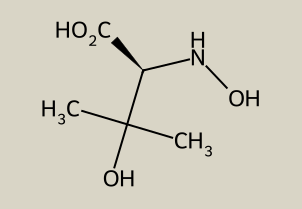 CC(C)(O)[C@H](NO)C(=O)O